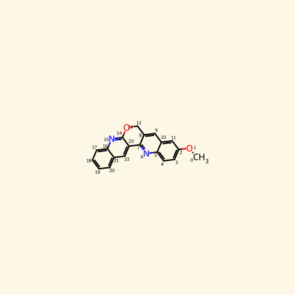 COc1ccc2nc3c(cc2c1)COc1nc2ccccc2cc1-3